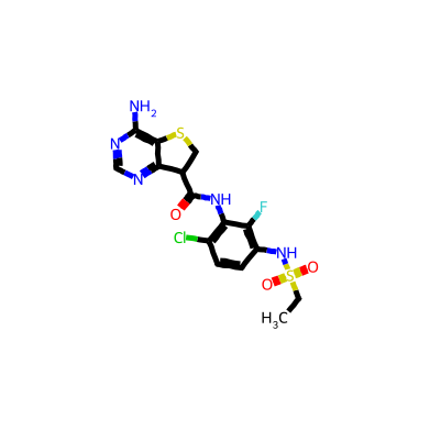 CCS(=O)(=O)Nc1ccc(Cl)c(NC(=O)C2CSc3c(N)ncnc32)c1F